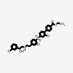 CCOC(=O)c1ccc(-c2ccc(S(=O)(=O)c3ccc(CCNC[C@H](O)c4cccc(Cl)c4)cc3)cc2Cl)cc1.Cl